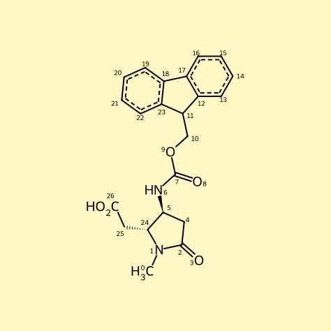 CN1C(=O)C[C@H](NC(=O)OCC2c3ccccc3-c3ccccc32)[C@H]1CC(=O)O